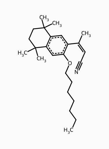 CCCCCCCOc1cc2c(cc1/C(C)=C\C#N)C(C)(C)CCC2(C)C